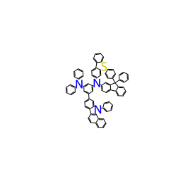 c1ccc(N(c2ccccc2)c2cc(-c3ccc4c5ccc6ccccc6c5n(-c5ccccc5)c4c3)cc(N(c3ccc4c(c3)C(c3ccccc3)(c3ccccc3)c3ccccc3-4)c3ccc4c(c3)sc3ccccc34)c2)cc1